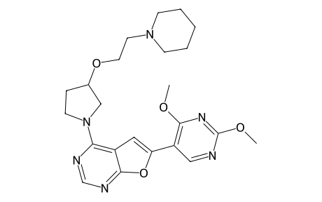 COc1ncc(-c2cc3c(N4CCC(OCCN5CCCCC5)C4)ncnc3o2)c(OC)n1